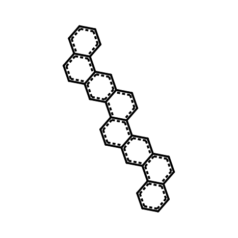 c1ccc2c(c1)ccc1cc3c(ccc4c5cc6ccc7ccccc7c6cc5ccc34)cc12